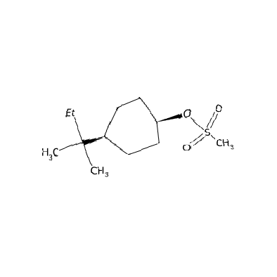 CCC(C)(C)[C@H]1CC[C@@H](OS(C)(=O)=O)CC1